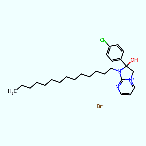 CCCCCCCCCCCCCCN1c2nccc[n+]2CC1(O)c1ccc(Cl)cc1.[Br-]